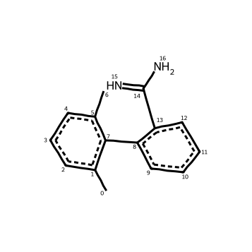 Cc1cccc(C)c1-c1ccccc1C(=N)N